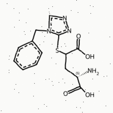 N[C@@H](CC(Sc1nncn1Cc1ccccc1)C(=O)O)C(=O)O